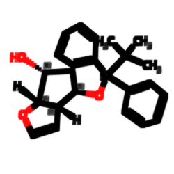 CC(C)(C)[Si](O[C@@H]1C[C@@H](O)[C@H]2OC=C[C@H]21)(c1ccccc1)c1ccccc1